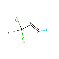 F/C=C/C(F)(Cl)Cl